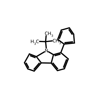 CC(C)(C)n1c2ccccc2c2cccc(-c3ccccc3)c21